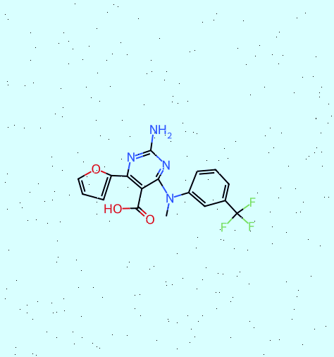 CN(c1cccc(C(F)(F)F)c1)c1nc(N)nc(-c2ccco2)c1C(=O)O